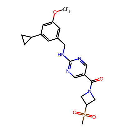 CS(=O)(=O)C1CN(C(=O)c2cnc(NCc3cc(OC(F)(F)F)cc(C4CC4)c3)nc2)C1